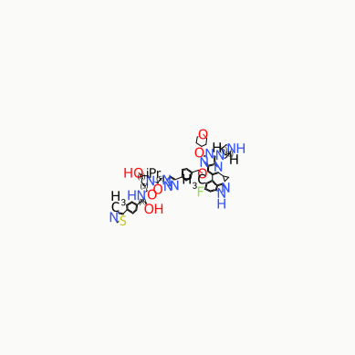 Cc1ncsc1-c1ccc([C@H](CO)NC(=O)[C@@H]2C[C@@H](O)CN2C(=O)[C@H](C(C)C)n2cc(-c3ccc(COc4c(-c5c(C)c(F)cc6[nH]ncc56)c(C5CC5)nc5c(N6C[C@@H]7C[C@H]6CN7)nc(OC6CCOCC6)nc45)cc3)nn2)cc1